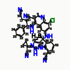 BC(Nc1cc(Cl)c2ncc(C#N)c(N[C@H](CCC#N)c3ccccc3)c2c1)(C1=CN(C2(C#N)CC2)NN1)c1cccc(C#N)c1